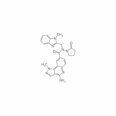 Cn1ncc2c(N)nc3ccc(C(=O)N(Cc4nc5ccccc5n4C)N4CCCC4=O)cc3c21